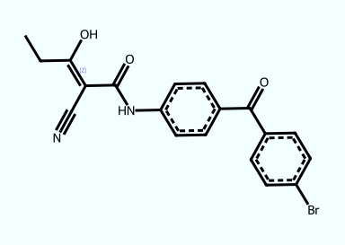 CC/C(O)=C(\C#N)C(=O)Nc1ccc(C(=O)c2ccc(Br)cc2)cc1